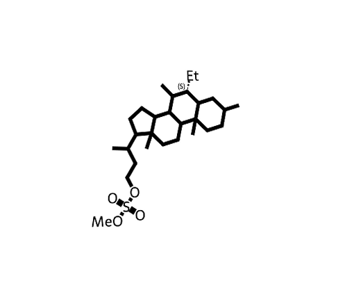 CC[C@H]1C(C)C2C3CCC(C(C)CCOS(=O)(=O)OC)C3(C)CCC2C2(C)CCC(C)CC12